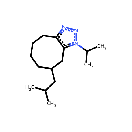 CC(C)CC1CCCCc2nnn(C(C)C)c2C1